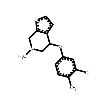 CN1Cc2occc2C(Oc2ccc(C(F)(F)F)c(Cl)c2)C1